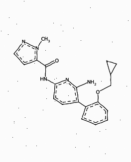 Cn1nccc1C(=O)Nc1ccc(-c2ccccc2OCC2CC2)c(N)n1